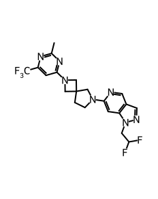 Cc1nc(N2CC3(CCN(c4cc5c(cn4)cnn5CC(F)F)C3)C2)cc(C(F)(F)F)n1